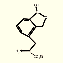 CCOC(=O)[C@H](N)Cc1cccc2c1COB2O